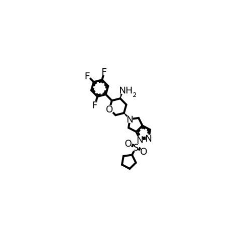 N[C@H]1C[C@@H](N2Cc3cnn(S(=O)(=O)C4CCCC4)c3C2)COC1c1cc(F)c(F)cc1F